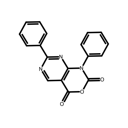 O=c1oc(=O)n(-c2ccccc2)c2nc(-c3ccccc3)ncc12